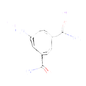 I.I.I.NC(=O)c1cc(N)cc(C(N)=O)c1